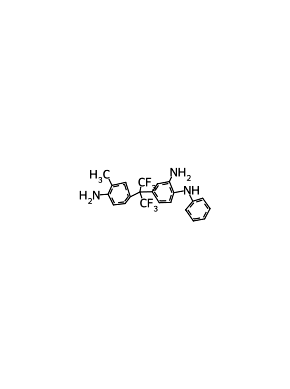 Cc1cc(C(c2ccc(Nc3ccccc3)c(N)c2)(C(F)(F)F)C(F)(F)F)ccc1N